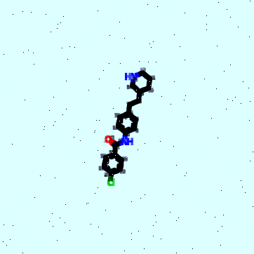 O=C(Nc1ccc(CCC2CCCNC2)cc1)c1ccc(Cl)cc1